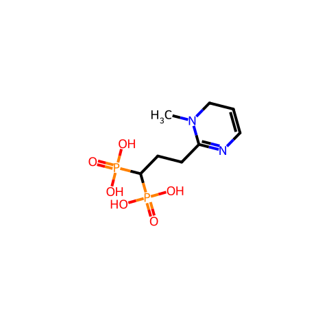 CN1CC=CN=C1CCC(P(=O)(O)O)P(=O)(O)O